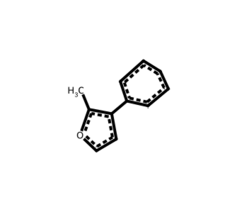 Cc1occc1-c1[c]cccc1